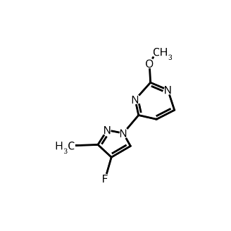 COc1nccc(-n2cc(F)c(C)n2)n1